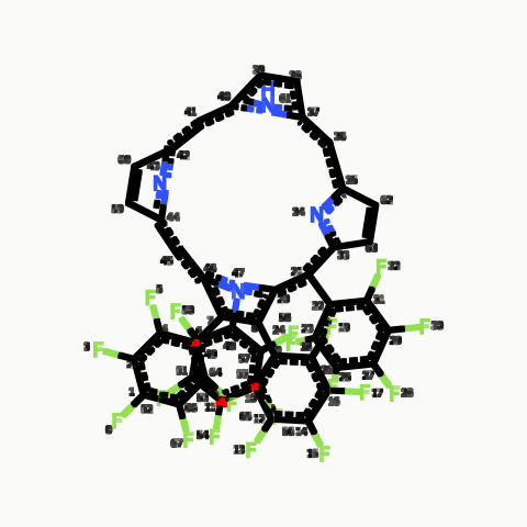 Fc1c(F)c(F)c(-c2c(-c3c(F)c(F)c(F)c(F)c3F)c3c(-c4c(F)c(F)c(F)c(F)c4F)c4nc(cc5ccc(cc6nc(cc2n3-c2c(F)c(F)c(F)c(F)c2F)C=C6)[nH]5)C=C4)c(F)c1F